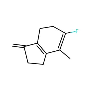 C=C1CCC2=C1CCC(F)=C2C